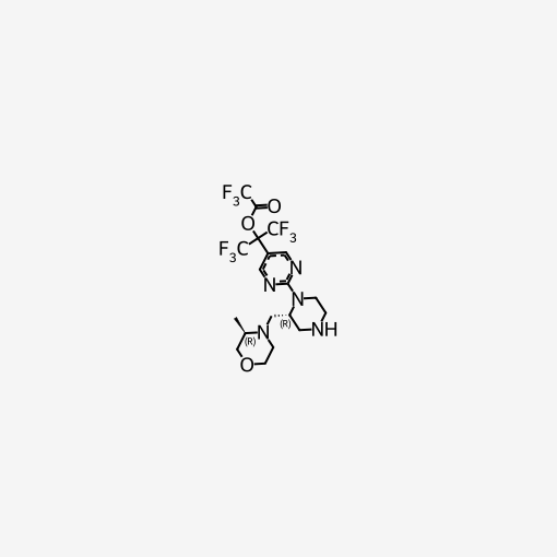 C[C@@H]1COCCN1C[C@H]1CNCCN1c1ncc(C(OC(=O)C(F)(F)F)(C(F)(F)F)C(F)(F)F)cn1